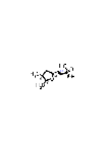 B[C@@H]1O[C@H](/C=C/P(=O)(O)O)C[C@@H]1C